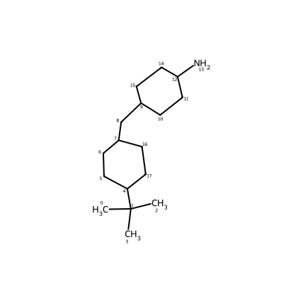 CC(C)(C)C1CCC(CC2CCC(N)CC2)CC1